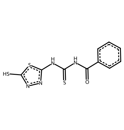 O=C(NC(=S)Nc1nnc(S)s1)c1ccccc1